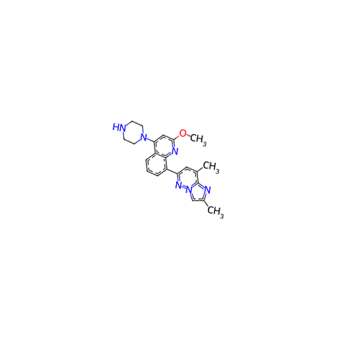 COc1cc(N2CCNCC2)c2cccc(-c3cc(C)c4nc(C)cn4n3)c2n1